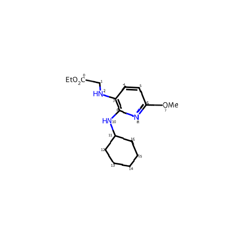 CCOC(=O)CNc1ccc(OC)nc1NC1CCCCC1